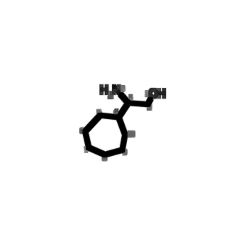 NC(CO)C1CCCCCC1